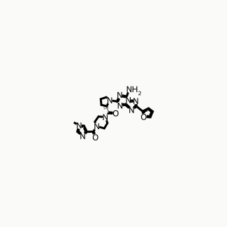 Cn1cnc(C(=O)N2CCN(C(=O)[C@@H]3CCCN3c3nc(N)n4nc(-c5ccco5)nc4n3)CC2)c1